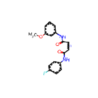 COc1cccc(NC(=O)/C=C\C(=O)Nc2ccc(F)cc2)c1